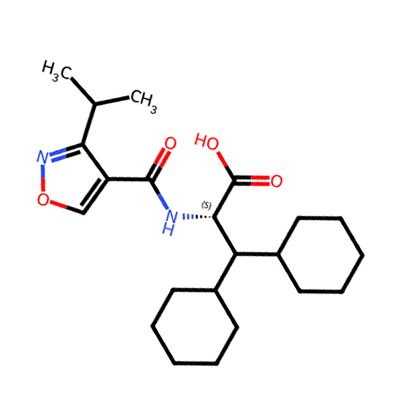 CC(C)c1nocc1C(=O)N[C@H](C(=O)O)C(C1CCCCC1)C1CCCCC1